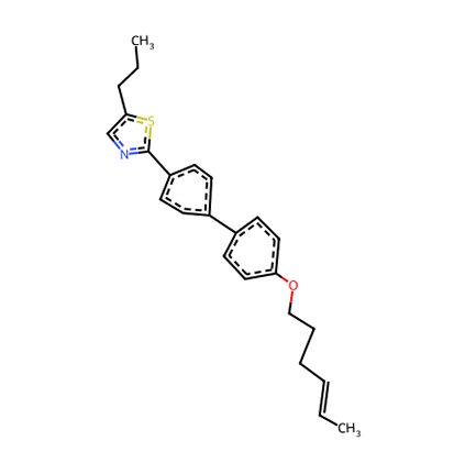 CC=CCCCOc1ccc(-c2ccc(-c3ncc(CCC)s3)cc2)cc1